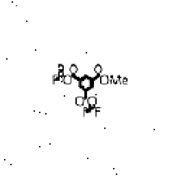 COC(=O)c1cc(C(=O)OP(F)#P)cc(C(=O)OP(F)#P)c1